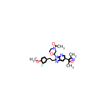 COc1ccc(CCc2nc3cc(-c4c(C)noc4C)cnc3n2C2CN(C(C)=O)CCO2)cc1F